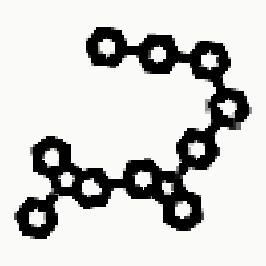 C1=CC2C(C=C1c1ccc3c(c1)c1ccccc1n3-c1ccc(-c3nccc(-c4cccc(-c5ccc(-c6ccccc6)cc5)c4)n3)cc1)c1ccccc1N2c1ccccc1